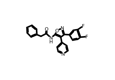 O=C(Cc1ccccc1)Nc1onc(-c2ccc(F)c(F)c2)c1-c1ccncc1